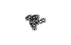 c1ccc(-c2nc(-c3ccc4ccccc4c3)nc(-c3cc4ccccc4c4sc5ccc(-n6c7cc8ccccc8cc7c7ccc8ccccc8c76)cc5c34)n2)cc1